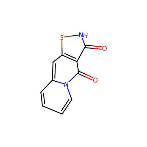 O=c1[nH]sc2cc3ccccn3c(=O)c12